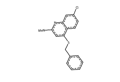 CNc1cc(SCc2ccccc2)c2ccc(Cl)cc2n1